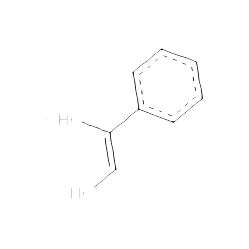 O=CC=C(C=O)c1ccccc1